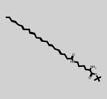 CCC=CCC=CCC=CCC=CCC=CCC=CCCC(=O)NCCCCC(N)C(=O)OC(C)(C)C